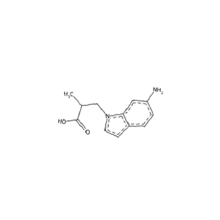 CC(Cn1ccc2ccc(N)cc21)C(=O)O